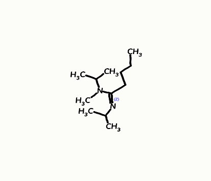 CCCC/C(=N/C(C)C)N(C)C(C)C